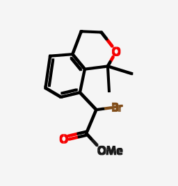 COC(=O)C(Br)c1cccc2c1C(C)(C)OCC2